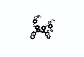 Br.CC(C)Oc1ccc(Sc2ccc3occ(C4=CCN5CCCCC5C4)c3c2)cc1.CC(C)Oc1ccccc1Sc1ccc2[nH]cc(C3=CCN4CCCC4C3)c2c1